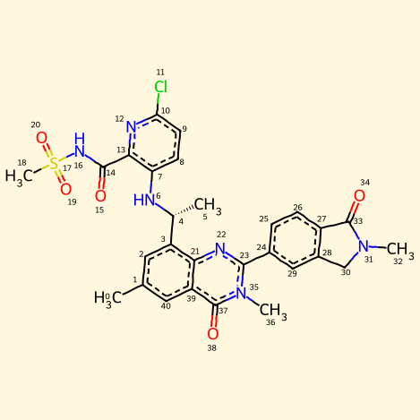 Cc1cc([C@@H](C)Nc2ccc(Cl)nc2C(=O)NS(C)(=O)=O)c2nc(-c3ccc4c(c3)CN(C)C4=O)n(C)c(=O)c2c1